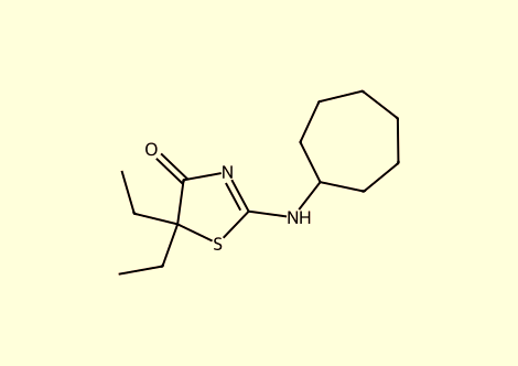 CCC1(CC)SC(NC2CCCCCC2)=NC1=O